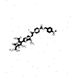 CSc1c2sc(C3=C(C(=O)O)N4C(=O)[C@H]([C@@H](C)O)[C@H]4[C@H]3C)c[n+]2cn1CC(=O)N1CCN(C(=O)OCc2ccc([N+](=O)[O-])cc2)CC1.[I-]